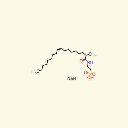 CCCCCCCC/C=C\CCCCCCC(C)C(=O)NCCS(=O)(=O)O.[NaH]